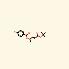 CC(C=CC(=O)OC(C)(C)C)OC(=O)c1ccc(F)cc1